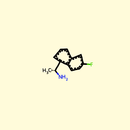 C[C@@H](N)c1cccc2cc(F)ccc12